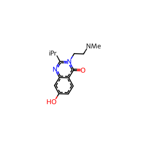 CNCCn1c(C(C)C)nc2cc(O)ccc2c1=O